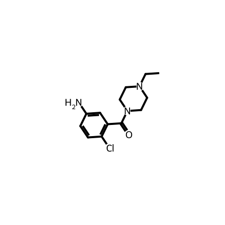 CCN1CCN(C(=O)c2cc(N)ccc2Cl)CC1